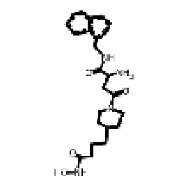 NC(CC(=O)N1CCC(CCCC(=O)NO)CC1)C(=O)NCc1cccc2ccccc12